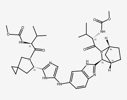 COC(=O)N[C@H](C(=O)N1CC2(CC2)C[C@H]1c1ncc(Nc2ccc3nc([C@@H]4[C@H]5CC[C@H](C5)N4C(=O)[C@@H](NC(=O)OC)C(C)C)[nH]c3c2)[nH]1)C(C)C